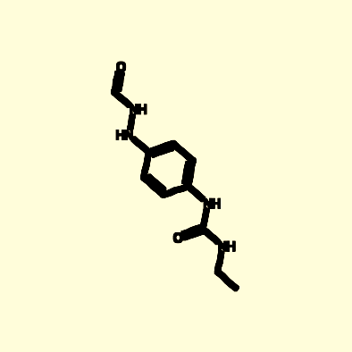 CCNC(=O)Nc1ccc(NNC=O)cc1